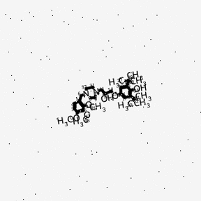 COc1ccc(CN2CCN(CC(O)COc3cc(C(C)(C)C)c(O)c(C(C)(C)C)c3)CC2)c(OC)c1OC